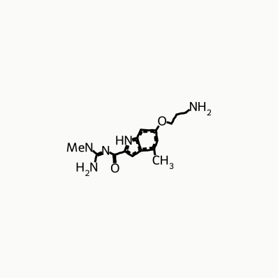 CNC(N)=NC(=O)c1cc2c(C)cc(OCCCN)cc2[nH]1